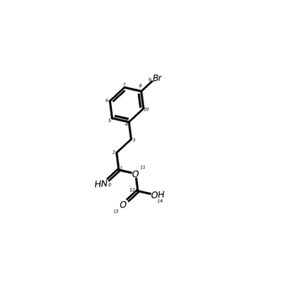 N=C(CCc1cccc(Br)c1)OC(=O)O